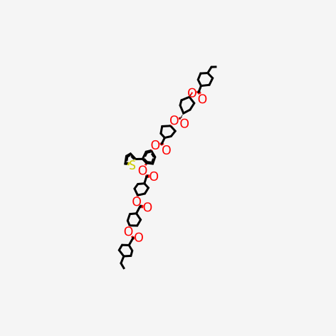 CCC1CCC(C(=O)OC2CCC(C(=O)OC3CCC(C(=O)Oc4ccc(OC(=O)C5CCC(OC(=O)[C@H]6CC[C@H](OC(=O)C7CCC(CC)CC7)CC6)CC5)cc4-c4cccs4)CC3)CC2)CC1